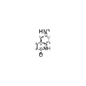 CNc1ccc2c(c1)CCC(=O)N2